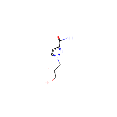 NC(=O)c1ccn(C[C@@H](O)CO)n1